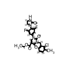 CCOC(=O)c1cn(-c2cc(F)c(N3CCNC3=O)c(F)c2)c(=O)n(Cc2cccc(C)c2Cl)c1=O